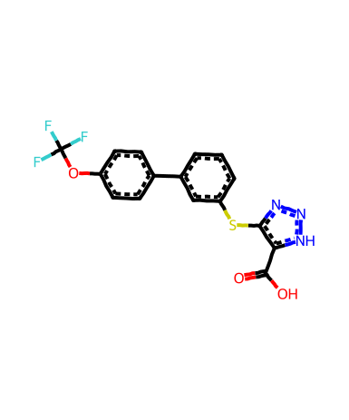 O=C(O)c1[nH]nnc1Sc1cccc(-c2ccc(OC(F)(F)F)cc2)c1